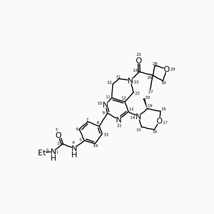 CCNC(=O)Nc1ccc(-c2nc3c(c(N4CCOC[C@@H]4C)n2)CN(C(=O)C2(C)COC2)CC3)cc1